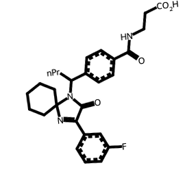 CCCC(c1ccc(C(=O)NCCC(=O)O)cc1)N1C(=O)C(c2cccc(F)c2)=NC12CCCCC2